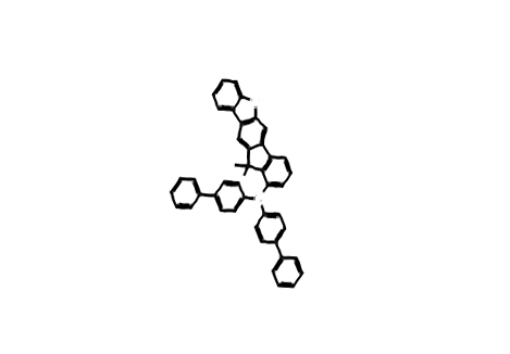 CC1(C)c2cc3c(cc2-c2cccc(N(c4ccc(-c5ccccc5)cc4)c4ccc(-c5ccccc5)cc4)c21)oc1ccccc13